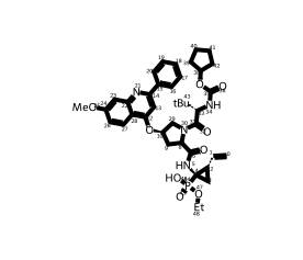 C=C[C@@H]1C[C@]1(NC(=O)C1C[C@@H](Oc2cc(-c3ccccc3)nc3cc(OC)ccc23)CN1C(=O)[C@@H](NC(=O)OC1CCCC1)C(C)(C)C)P(=O)(O)OCC